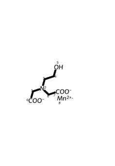 O=C([O-])CN(CCO)CC(=O)[O-].[Mn+2]